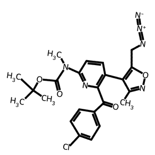 Cc1noc(CN=[N+]=[N-])c1-c1ccc(N(C)C(=O)OC(C)(C)C)nc1C(=O)c1ccc(Cl)cc1